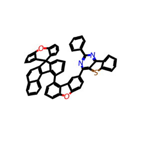 c1ccc(-c2nc(-c3ccc4oc5cccc(-c6cccc7c6-c6c(ccc8ccccc68)C76c7ccccc7Oc7ccccc76)c5c4c3)c3sc4ccccc4c3n2)cc1